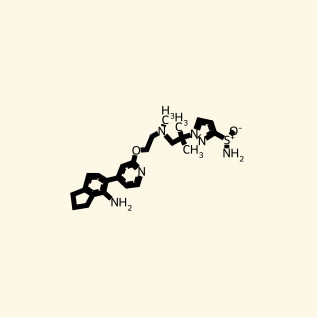 CN(CCOc1cc(-c2ccc3c(c2N)CCC3)ccn1)CC(C)(C)n1ccc([S+](N)[O-])n1